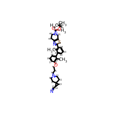 Cc1c(OCCCN2CCC3(CC2)CC3C#N)cccc1-c1cccc(-c2nc3c(s2)CN(C(=O)OC(C)(C)C)CC3)c1C